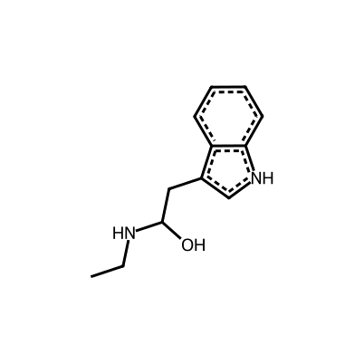 CCNC(O)Cc1c[nH]c2ccccc12